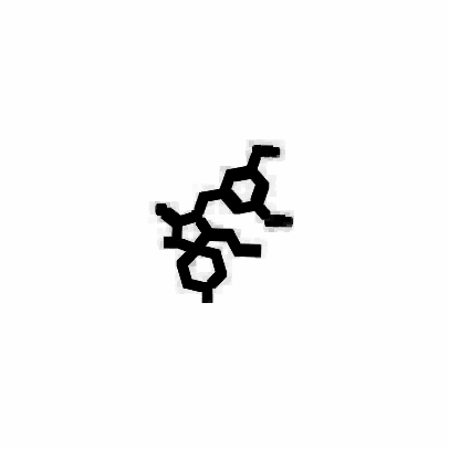 C=C/C=C1/N(Cc2cc(OC)cc(OC)c2)C(=O)NC12CCNCC2